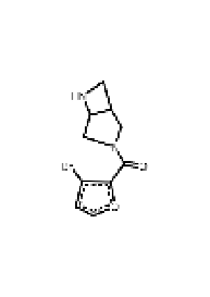 O=C(c1occc1Br)N1CC2CNC2C1